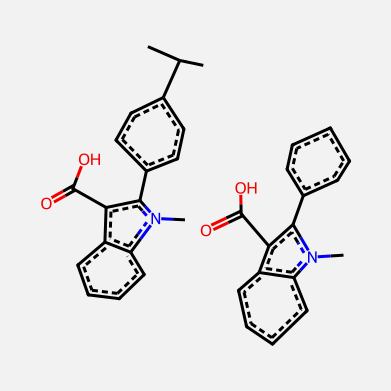 CC(C)c1ccc(-c2c(C(=O)O)c3ccccc3n2C)cc1.Cn1c(-c2ccccc2)c(C(=O)O)c2ccccc21